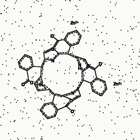 O=C([O-])c1ccccc1-c1c2nc(c(-c3ccccc3C(=O)[O-])c3ccc([nH]3)c(-c3ccccc3C(=O)[O-])c3nc(c(-c4ccccc4C(=O)[O-])c4ccc1[nH]4)C=C3)C=C2.[Zn+2].[Zn+2]